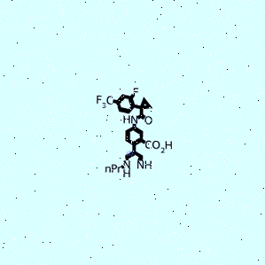 CCCN/C=C(\C=N)c1ccc(NC(=O)C2(c3ccc(C(F)(F)F)cc3F)CC2)cc1C(=O)O